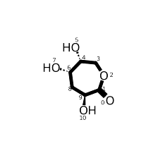 O=C1OC[C@@H](O)[C@@H](O)C[C@@H]1O